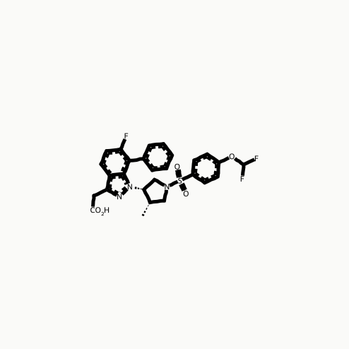 C[C@H]1CN(S(=O)(=O)c2ccc(OC(F)F)cc2)C[C@H]1n1nc(CC(=O)O)c2ccc(F)c(-c3ccccc3)c21